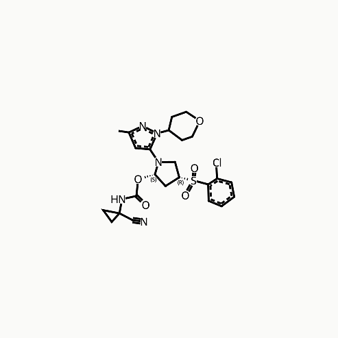 Cc1cc(N2C[C@H](S(=O)(=O)c3ccccc3Cl)C[C@@H]2OC(=O)NC2(C#N)CC2)n(C2CCOCC2)n1